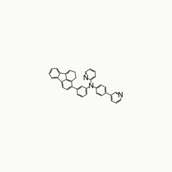 C1=C2c3ccccc3-c3ccc(-c4cccc(N(c5ccc(-c6cccnc6)cc5)c5ccccn5)c4)c(c32)CC1